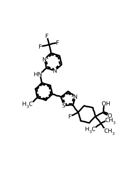 Cc1cc(Nc2nccc(C(F)(F)F)n2)cc(-c2cnc(C3(F)CCC(C(=O)O)(C(C)(C)C)CC3)s2)c1